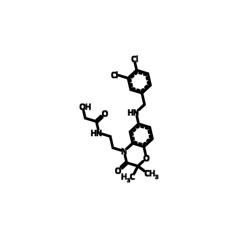 CC1(C)Oc2ccc(NCc3ccc(Cl)c(Cl)c3)cc2N(CCNC(=O)CO)C1=O